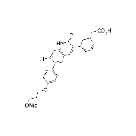 COCCCOc1ccc(-c2cc3cc(-c4cccc(CC(=O)O)c4)c(=O)[nH]c3cc2Cl)cc1